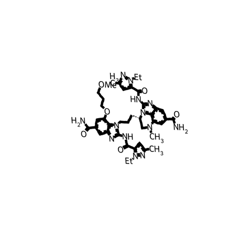 CCn1nc(C)cc1C(=O)Nc1nc2cc(C(N)=O)cc(OCCCOC)c2n1CCC[C@H]1CN(C)c2cc(C(N)=O)cc3nc(NC(=O)c4cc(C)nn4CC)n1c23